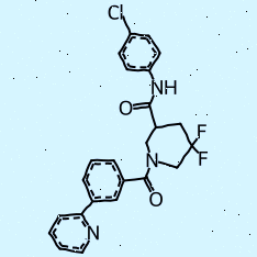 O=C(Nc1ccc(Cl)cc1)C1CN(C(=O)c2cccc(-c3ccccn3)c2)CC(F)(F)C1